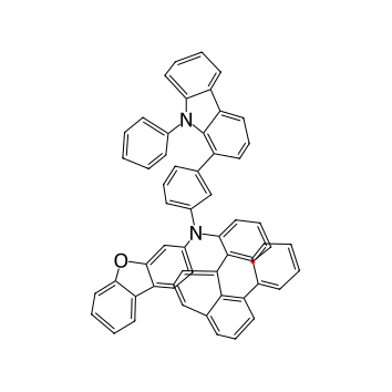 c1ccc(-c2cccc3cccc(-c4ccccc4N(c4cccc(-c5cccc6c7ccccc7n(-c7ccccc7)c56)c4)c4ccc5c(c4)oc4ccccc45)c23)cc1